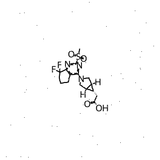 CS(=O)(=O)c1nc(N2C[C@@H]3[C@H](CC(=O)O)[C@@H]3C2)c2c(n1)C(F)(F)CCC2